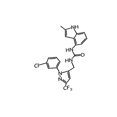 Cc1cc2c(NC(=O)NCc3cc(C(F)(F)F)nn3-c3cccc(Cl)c3)cccc2[nH]1